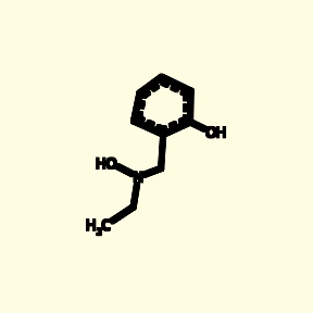 CCN(O)Cc1ccccc1O